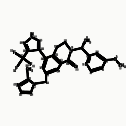 COc1ccnc([C@H](C)N2CCc3c(cc(Cn4ccnc4C)cc3-c3c[nH]nc3C(F)(F)F)C2=O)c1